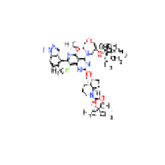 COc1nc(-c2c(C)ccc3[nH]ncc23)c(F)c2nc(OC[C@]34CCC[C@H]3N(C(=O)OC(C)(C)C)CCC4)nc(N3CCOC[C@@](C)(O[Si](C)(C)C(C)(C)C)C3)c12